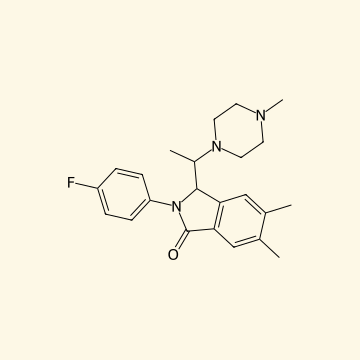 Cc1cc2c(cc1C)C(C(C)N1CCN(C)CC1)N(c1ccc(F)cc1)C2=O